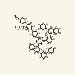 CC1(C)c2cc(C#N)ccc2-c2ccc(-c3ccc(-c4nc(-c5c6ccccc6cc6c5oc5c(-c7ccccc7)cccc56)nc(-c5cccc6c5oc5c(-c7ccccc7)cc7ccccc7c56)n4)cc3)cc21